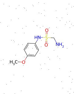 COc1ccc(NS(=O)(=O)CN)cc1